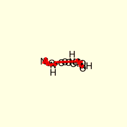 C=c1c2c(c(=C)n1C1CCC(=O)NC1=O)C(OCC(=O)NCCOCCOCCOCCCc1ccc(NC(=O)C(C)C3CCC(c4ccnc5c4C=CCC5)CC3)cc1)=CCC2